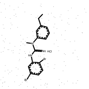 CCc1cccc(N(C)C(=N)Nc2cc(Br)ccc2Br)c1.Cl